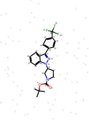 CC(C)(C)OC(=O)N1CCC(n2nc(-c3ccc(C(F)(F)F)cc3)c3ccccc32)C1